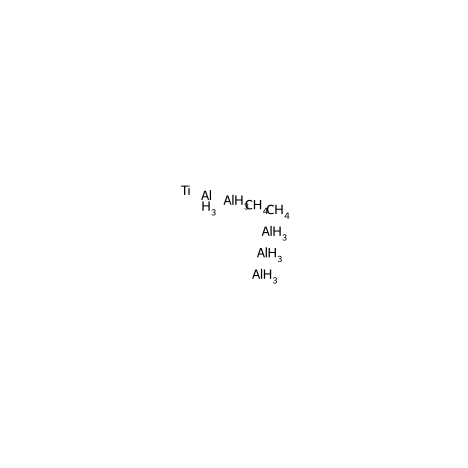 C.C.[AlH3].[AlH3].[AlH3].[AlH3].[AlH3].[Ti]